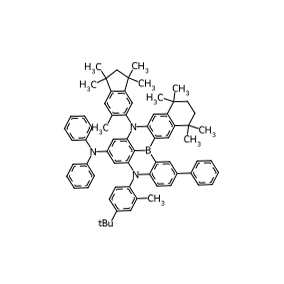 Cc1cc(C(C)(C)C)ccc1N1c2ccc(-c3ccccc3)cc2B2c3cc4c(cc3N(c3cc5c(cc3C)C(C)(C)CC5(C)C)c3cc(N(c5ccccc5)c5ccccc5)cc1c32)C(C)(C)CCC4(C)C